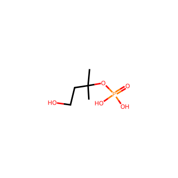 CC(C)(CCO)OP(=O)(O)O